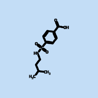 CC(C)CCNS(=O)(=O)c1ccc(C(=O)O)cc1